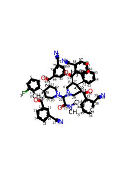 Cc1c(F)cccc1[C@H]1[C@@H](C(=O)c2cccc(C#N)c2)CN(C(C(=O)N(C)C)N2C[C@H](C(=O)c3ccccc3C#N)[C@H](c3cccc(F)c3C)[C@H](C(=O)c3ccccc3C#N)C2)C[C@H]1C(=O)c1cccc(C#N)c1